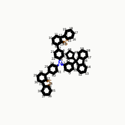 c1cc(N(c2ccc(-c3cccc4c3sc3ccccc34)cc2)c2ccc(-c3cccc4c3sc3ccccc34)cc2)cc(C2(C3CCCC3)c3ccccc3-c3ccccc32)c1